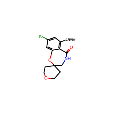 COc1cc(Br)cc2c1C(=O)NCC1(CCOCC1)O2